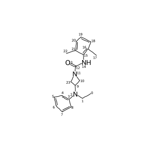 CCN(c1ccccc1)C1CN(C(=O)Nc2c(C)cccc2C)C1